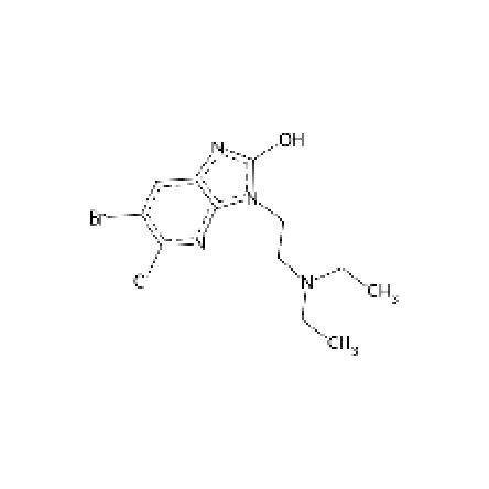 CCN(CC)CCn1c(O)nc2cc(Br)c(Cl)nc21